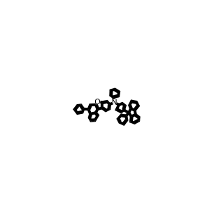 C1=CC(N(c2ccccc2)c2ccc3c(c2)oc2cc(-c4ccccc4)c4ccccc4c23)CC=C1C1(c2ccccc2)c2ccccc2-c2ccccc21